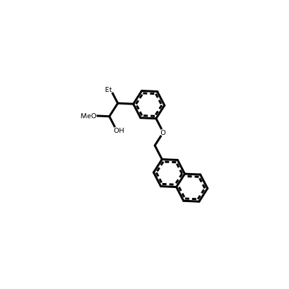 CCC(c1cccc(OCc2ccc3ccccc3c2)c1)C(O)OC